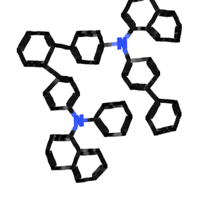 c1ccc(-c2ccc(N(c3ccc(-c4ccccc4-c4ccc(N(c5ccccc5)c5cccc6ccccc56)cc4)cc3)c3cccc4ccccc34)cc2)cc1